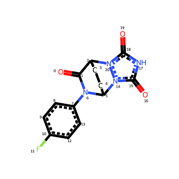 O=C1C2CCC(N1c1ccc(F)cc1)n1c(=O)[nH]c(=O)n12